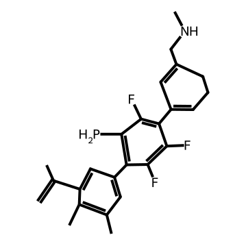 C=C(C)c1cc(-c2c(F)c(F)c(C3=CCCC(CNC)=C3)c(F)c2P)cc(C)c1C